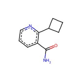 NC(=O)c1cccnc1C1CCC1